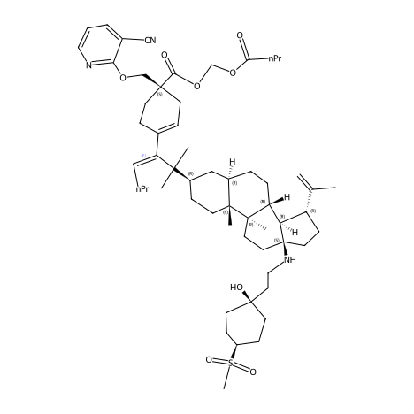 C=C(C)[C@@H]1CC[C@]2(NCC[C@]3(O)CC[C@@H](S(C)(=O)=O)CC3)CC[C@]3(C)[C@H](CC[C@@H]4C[C@H](C(C)(C)/C(=C\CCC)C5=CC[C@@](COc6ncccc6C#N)(C(=O)OCOC(=O)CCC)CC5)CC[C@]43C)[C@@H]12